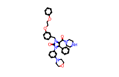 O=C(c1c(-c2ccccc2)n(-c2cccc(N3CCOCC3)c2)c(=O)n1Cc1cccc(OCCOc2ccccc2)c1)N1CCNCC1